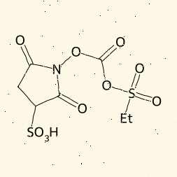 CCS(=O)(=O)OC(=O)ON1C(=O)CC(S(=O)(=O)O)C1=O